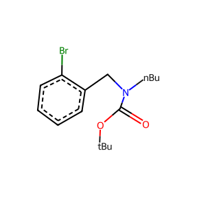 CCCCN(Cc1ccccc1Br)C(=O)OC(C)(C)C